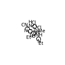 CCOc1cc2ncc(C#N)c(Nc3cc(OC)c(Cl)cc3Cl)c2cc1NC(=O)NC1CCN(CC)CC1